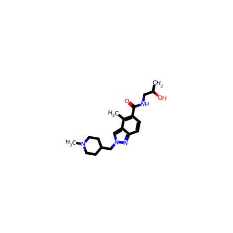 Cc1c(C(=O)NCC(C)O)ccc2nn(CC3CCN(C)CC3)cc12